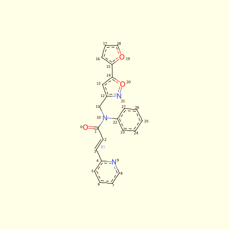 O=C(/C=C/c1ccccn1)N(Cc1cc(-c2ccco2)on1)c1ccccc1